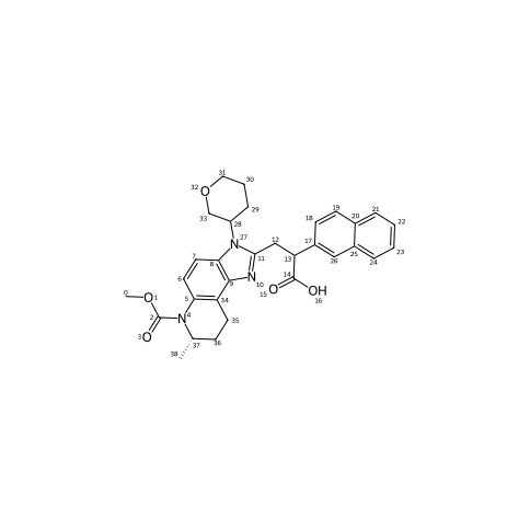 COC(=O)N1c2ccc3c(nc(CC(C(=O)O)c4ccc5ccccc5c4)n3C3CCCOC3)c2CC[C@@H]1C